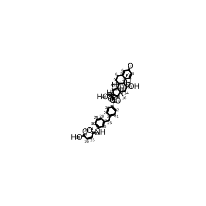 C[C@]12C=CC(=O)C=C1CC[C@@H]1[C@@H]2[C@@H](O)C[C@@]2(C)[C@H]1C[C@H]1O[C@@H](c3ccc(Cc4cccc(NC(=O)/C=C\C(=O)O)c4)cc3)O[C@]12C(=O)CO